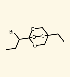 CCC(Br)C12OCC(CC)(CO1)CO2